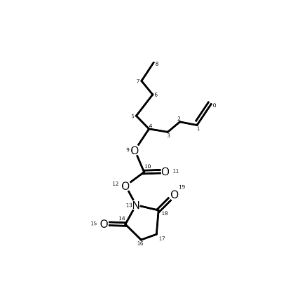 C=CCCC(CCCC)OC(=O)ON1C(=O)CCC1=O